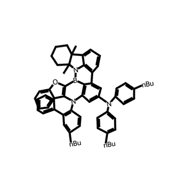 CCCCc1ccc(N(c2ccc(CCCC)cc2)c2cc3c4c(c2)N(c2ccc(CCCC)cc2-c2ccccc2)c2c(oc5ccccc25)B4N2c4c-3cccc4C3(C)CCCCC23C)cc1